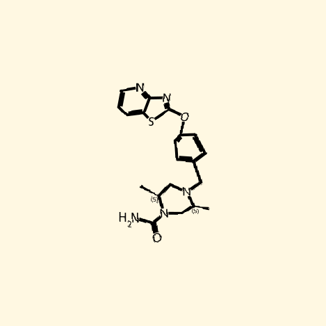 C[C@H]1CN(C(N)=O)[C@@H](C)CN1Cc1ccc(Oc2nc3ncccc3s2)cc1